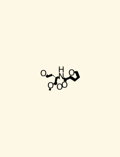 COC(=O)[C@H](CC=O)NC(=O)c1ccco1